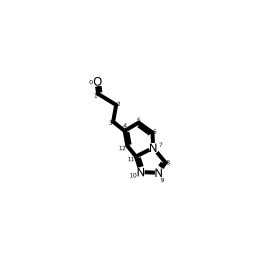 O=CCCc1ccn2cnnc2c1